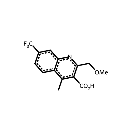 COCc1nc2cc(C(F)(F)F)ccc2c(C)c1C(=O)O